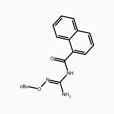 CCCCON=C(N)NC(=O)c1cccc2ccccc12